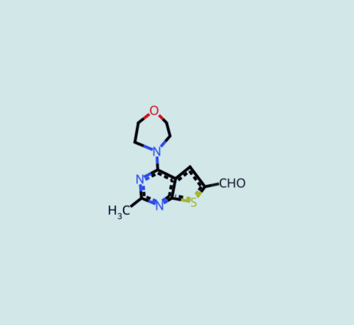 Cc1nc(N2CCOCC2)c2cc(C=O)sc2n1